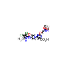 Cc1[nH]c(C(=O)NC2CCN(c3cc(C(=O)O)nc(OCCNC(=O)OC(C)(C)C)n3)CC2)c(Cl)c1Cl